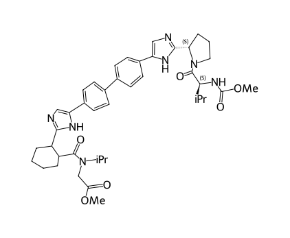 COC(=O)CN(C(=O)C1CCCCC1c1ncc(-c2ccc(-c3ccc(-c4cnc([C@@H]5CCCN5C(=O)[C@@H](NC(=O)OC)C(C)C)[nH]4)cc3)cc2)[nH]1)C(C)C